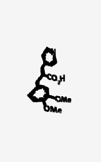 COc1ccc(C/C(=C/c2ccncc2)C(=O)O)cc1OC